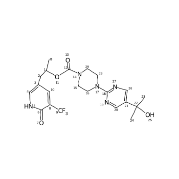 CC(Cc1c[nH]c(=O)c(C(F)(F)F)c1)OC(=O)N1CCN(c2ncc(C(C)(C)O)cn2)CC1